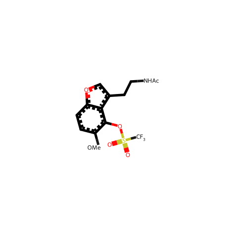 COc1ccc2occ(CCNC(C)=O)c2c1OS(=O)(=O)C(F)(F)F